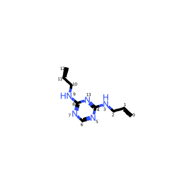 C=CCNc1ncnc(NCC=C)n1